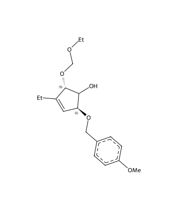 CCOCO[C@H]1C(CC)=C[C@H](OCc2ccc(OC)cc2)C1O